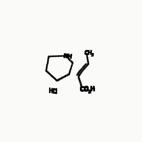 C/C=C/C(=O)O.C1CCNCC1.Cl